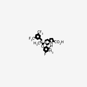 Cc1cc(F)ccc1[C@H]1C[C@]2(CCC(C(=O)O)N2)CCN1C(=O)N(C)Cc1cc(C(F)(F)F)cc(C(F)(F)F)c1